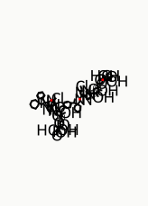 O=P(O)(O)CP(=O)(O)OC[C@H]1O[C@@H](n2cnc3c(N4CC(c5ccc(OC6C(O)[C@@H](COP(=O)(O)CP(=O)(O)O)O[C@H]6n6cnc7c(N8CC9(CCCCCC9)c9ccccc98)nc(Cl)nc76)cc5)C5(CCCCC5)C4)nc(Cl)nc32)C(O)C1O